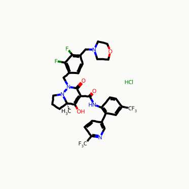 C[C@]12CCCN1N(Cc1ccc(CN3CCOCC3)c(F)c1F)C(=O)C(C(=O)Nc1ccc(C(F)(F)F)cc1-c1ccc(C(F)(F)F)nc1)=C2O.Cl